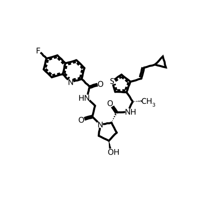 C[C@H](NC(=O)[C@@H]1C[C@@H](O)CN1C(=O)CNC(=O)c1ccc2cc(F)ccc2n1)c1cscc1/C=C/C1CC1